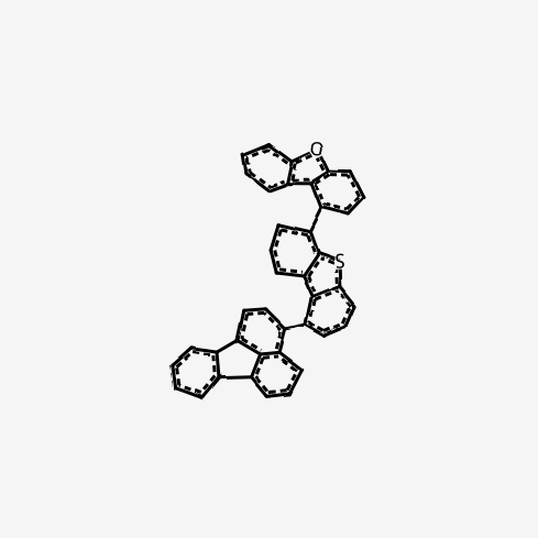 c1ccc2c(c1)-c1cccc3c(-c4cccc5sc6c(-c7cccc8oc9ccccc9c78)cccc6c45)ccc-2c13